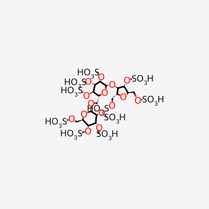 O=S(=O)(O)OC[C@H]1O[C@@H](OC[C@H]2O[C@@H](O[C@H]3[C@H](OS(=O)(=O)O)[C@@H](COS(=O)(=O)O)O[C@@H]3COS(=O)(=O)O)[C@H](OS(=O)(=O)O)[C@@H](OS(=O)(=O)O)[C@@H]2OS(=O)(=O)O)[C@H](OS(=O)(=O)O)[C@@H](OS(=O)(=O)O)[C@@H]1OS(=O)(=O)O